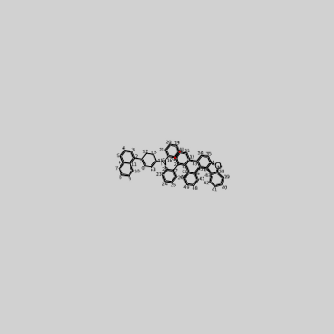 C1=C(c2cccc3ccccc23)CCC(N(c2ccccc2)c2ccccc2-c2cccc3c4ccc5oc6ccccc6c5c4c4ccccc4c23)=C1